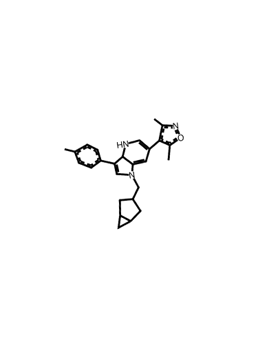 Cc1ccc(C2=CN(CC3CC4CC4C3)C3=CC(c4c(C)noc4C)=CNC23)cc1